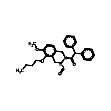 CCCCOc1c(OC)ccc2c1C[C@@H](C=O)N(C(=O)C(c1ccccc1)c1ccccc1)C2